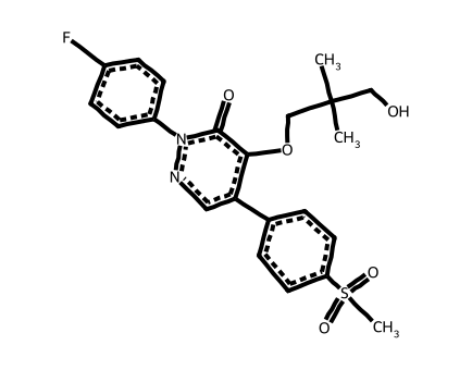 CC(C)(CO)COc1c(-c2ccc(S(C)(=O)=O)cc2)cnn(-c2ccc(F)cc2)c1=O